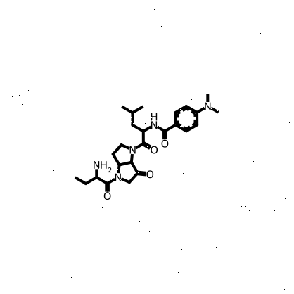 CCC(N)C(=O)N1CC(=O)C2C1CCN2C(=O)C(CC(C)C)NC(=O)c1ccc(N(C)C)cc1